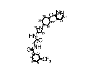 O=C(CNC(=O)c1cccc(C(F)(F)F)c1)NC1CN(C2CCC(Oc3cccnn3)CC2)C1